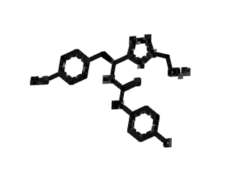 CCOC(=O)Cn1nnc([C@H](Cc2ccc(OC)cc2)NC(=O)Nc2ccc(Cl)cc2)n1